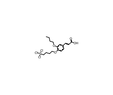 CCCCOc1cc(C=CC(=O)O)ccc1OCCCC[Si](Cl)(Cl)Cl